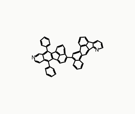 c1ccc(-c2c3c(c(-c4ccccc4)c4cnccc24)-c2cccc4c(-c5cc6c7cccc8c7c(cc6c6ccccc56)-c5ncccc5-8)ccc-3c24)cc1